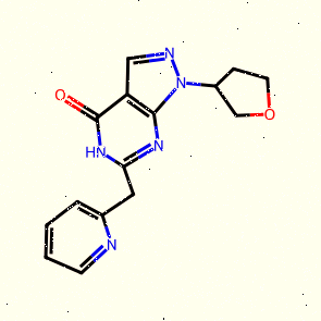 O=c1[nH]c(Cc2ccccn2)nc2c1cnn2C1CCOC1